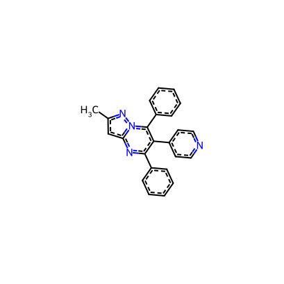 Cc1cc2nc(-c3ccccc3)c(-c3ccncc3)c(-c3ccccc3)n2n1